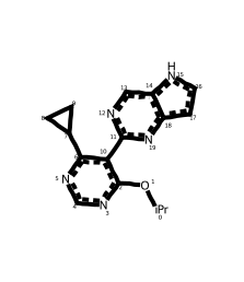 CC(C)Oc1ncnc(C2CC2)c1-c1ncc2[nH]ccc2n1